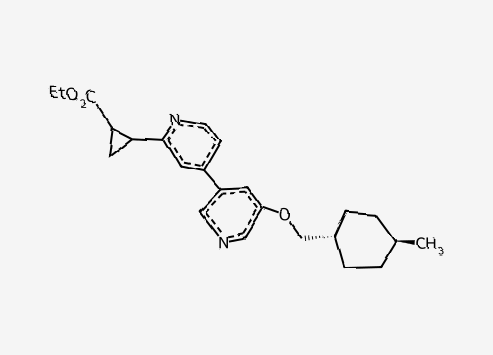 CCOC(=O)C1CC1c1cc(-c2cncc(OC[C@H]3CC[C@H](C)CC3)c2)ccn1